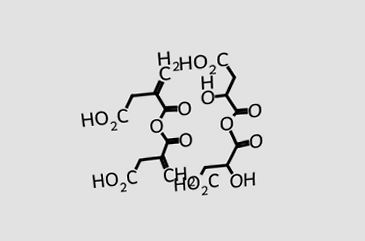 C=C(CC(=O)O)C(=O)OC(=O)C(=C)CC(=O)O.O=C(O)CC(O)C(=O)OC(=O)C(O)CC(=O)O